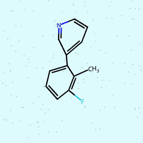 Cc1c(F)c[c]cc1-c1cccnc1